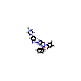 Cc1cc(C)c(N2Cc3cnc(Nc4ccc(N5CCN(C)CC5)cc4)nc3N(C34CC5CC(CC(C5)C3)C4)C2=O)cc1C